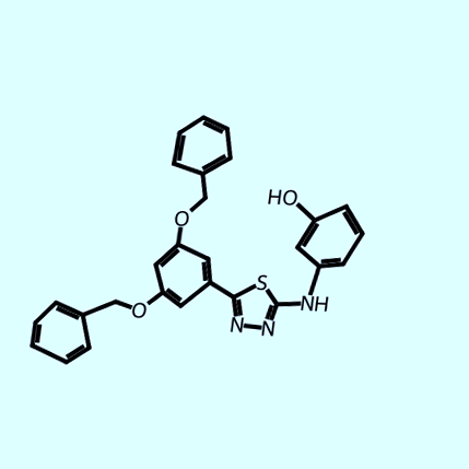 Oc1cccc(Nc2nnc(-c3cc(OCc4ccccc4)cc(OCc4ccccc4)c3)s2)c1